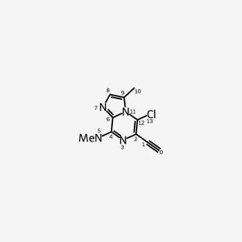 C#Cc1nc(NC)c2ncc(C)n2c1Cl